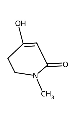 CN1CCC(O)=CC1=O